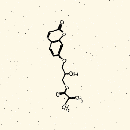 C=C(C)C(=O)OCC(O)COc1ccc2ccc(=O)oc2c1